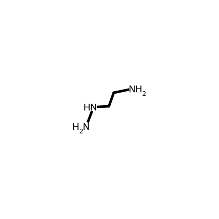 NCCNN